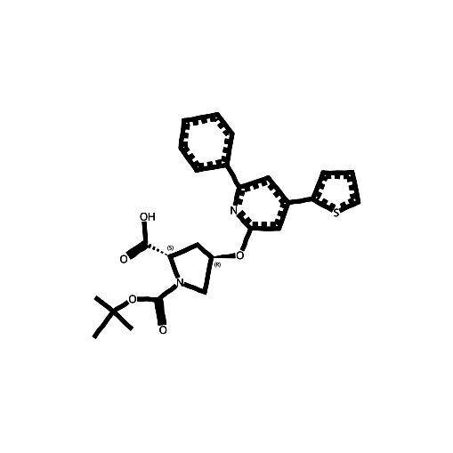 CC(C)(C)OC(=O)N1C[C@H](Oc2cc(-c3cccs3)cc(-c3ccccc3)n2)C[C@H]1C(=O)O